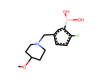 COC1CCN(Cc2ccc(F)c(B(O)O)c2)CC1